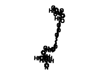 CC(NC(=O)c1cccc(NC2(C(=N)NC(=N)c3ccncc3)CCNCC2)c1)c1cccc(OCCCCCCOCCOCCOCCC(=O)Nc2cccc3c2CN(C2CCC(=O)NC2=O)C3=O)c1